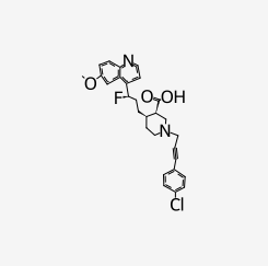 COc1ccc2nccc([C@H](F)CC[C@@H]3CCN(CC#Cc4ccc(Cl)cc4)C[C@@H]3C(=O)O)c2c1